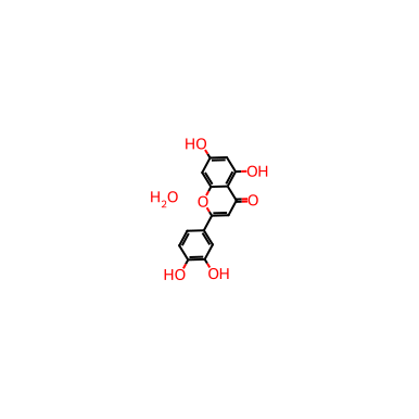 O.O=c1cc(-c2ccc(O)c(O)c2)oc2cc(O)cc(O)c12